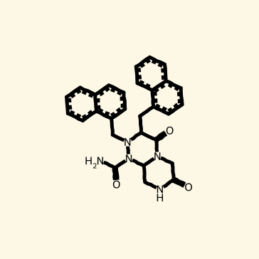 NC(=O)N1C2CNC(=O)CN2C(=O)C(Cc2cccc3ccccc23)N1Cc1cccc2ccccc12